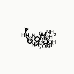 CN[C@@H]1[C@@H](O)[C@@H](O[C@H]2[C@H](NC(=O)[C@@H](O)CN)C[C@H](N)C([C@H]3OC(CNCC4CC4)=CC[C@H]3N)[C@@H]2O)OC[C@]1(C)O